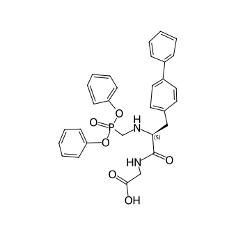 O=C(O)CNC(=O)[C@H](Cc1ccc(-c2ccccc2)cc1)NCP(=O)(Oc1ccccc1)Oc1ccccc1